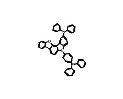 c1ccc(N(c2ccccc2)c2ccc(-n3c4ccc(N(c5ccccc5)c5ccccc5)cc4c4c5oc6ccccc6c5ccc43)cc2)cc1